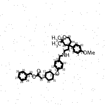 COc1ccc(C2(CCNCc3ccc(O[C@H]4CC[C@H](CC(=O)OCc5ccccc5)CC4)cc3)CCOC(C)(C)C2)cc1